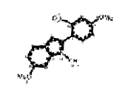 COc1ccc(-c2cc3ccc(OC)cc3n2C)c([N+](=O)[O-])c1